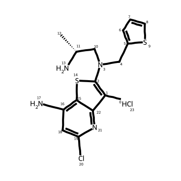 Cc1c(N(Cc2cccs2)C[C@@H](C)N)sc2c(N)cc(Cl)nc12.Cl